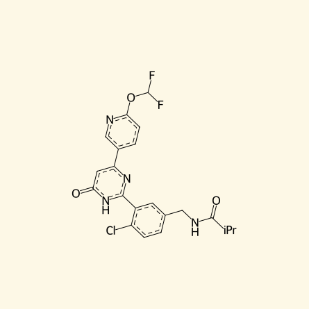 CC(C)C(=O)NCc1ccc(Cl)c(-c2nc(-c3ccc(OC(F)F)nc3)cc(=O)[nH]2)c1